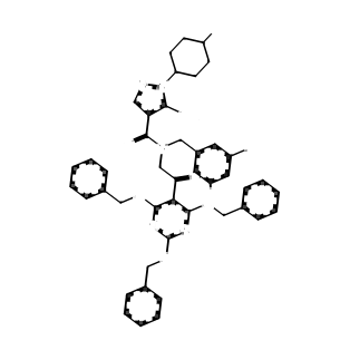 CCOC(=O)C1CCC(n2ncc(C(=O)N(CC(=O)c3c(OCc4ccccc4)nc(OCc4ccccc4)nc3OCc3ccccc3)Cc3cc(F)cc(F)c3)c2C(F)(F)F)CC1